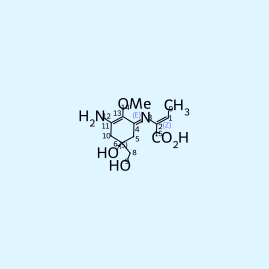 C/C=C(\N=C1/C[C@](O)(CO)CC(N)=C1OC)C(=O)O